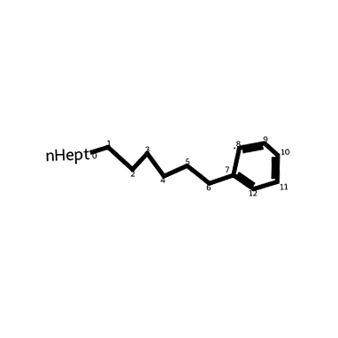 CCCCCCCCCCCCCc1[c]cccc1